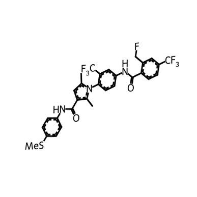 CSc1ccc(NC(=O)c2cc(C)n(-c3ccc(NC(=O)c4ccc(C(F)(F)F)cc4CF)cc3C(F)(F)F)c2C)cc1